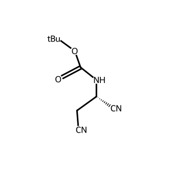 CC(C)(C)OC(=O)N[C@H](C#N)CC#N